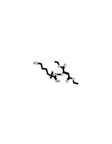 CCOC(=O)C=C(ONC(=N)C(C)(C)CCCCO)C(=O)OCC